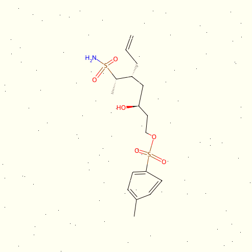 C=CC[C@H](C[C@H](O)CCOS(=O)(=O)c1ccc(C)cc1)[C@H](C)S(N)(=O)=O